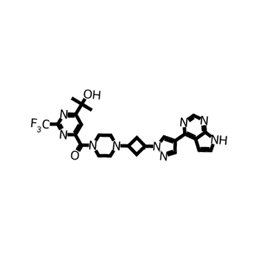 CC(C)(O)c1cc(C(=O)N2CCN(C3C[C](n4cc(-c5ncnc6[nH]ccc56)cn4)C3)CC2)nc(C(F)(F)F)n1